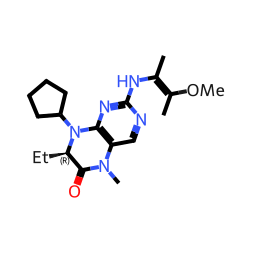 CC[C@@H]1C(=O)N(C)c2cnc(NC(C)=C(C)OC)nc2N1C1CCCC1